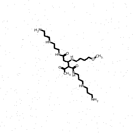 COCCCCNC(CC(=O)NCCCNCCCN)C(C(C)=O)C(=O)NCCCNCCCN